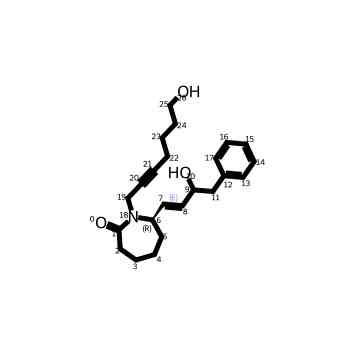 O=C1CCCC[C@H](/C=C/C(O)Cc2ccccc2)N1CC#CCCCCO